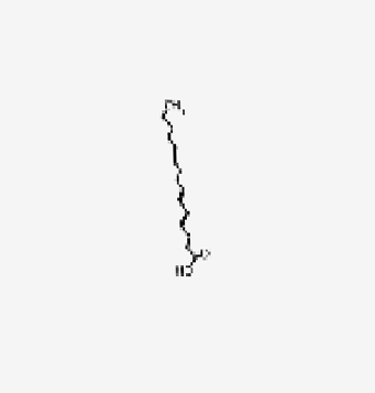 CCCCCCCC/C=C/C=C/CCC(=O)O